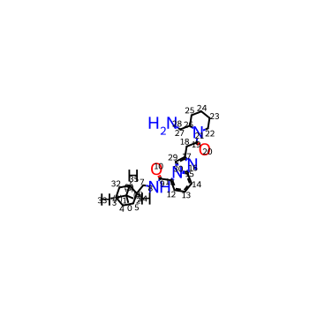 CC1(C)[C@@H]2CC[C@@H](CNC(=O)c3cccc4nc(CC(=O)N5CCCCC5CN)cn34)[C@@H]1C2